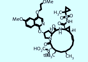 COCCOc1cnc(O[C@@H]2C[C@H]3C(=O)N[C@]4(C(=O)NS(=O)(=O)C5(C)CC5)C[C@H]4/C=C\CC[C@@H](C)C[C@@H](C)[C@H](N(C(=O)O)C(C)(C)C)C(=O)N3C2)c2ccc(OC)cc12